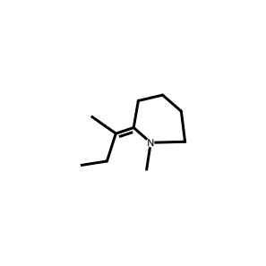 CC/C(C)=C1/CCCCN1C